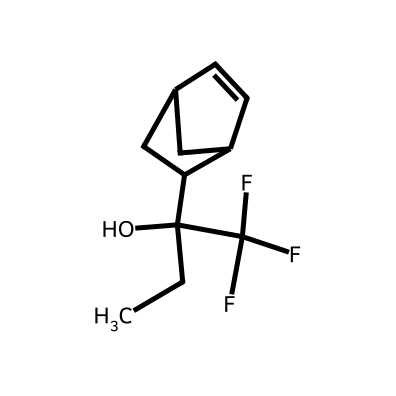 CCC(O)(C1CC2C=CC1C2)C(F)(F)F